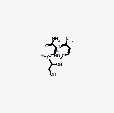 CC(O)CO.NC(=O)/C=C\C(=O)O.NC(=O)/C=C\C(=O)O